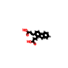 O=C(O)C=Cc1ccc2c(c1C=CC(=O)O)Cc1ccccc1-2